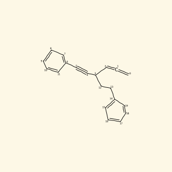 C=C=CC(C#Cc1ccccc1)CCc1ccccc1